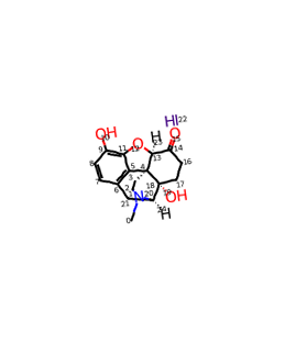 CN1CC[C@]23c4c5ccc(O)c4O[C@H]2C(=O)CC[C@@]3(O)[C@H]1C5.I